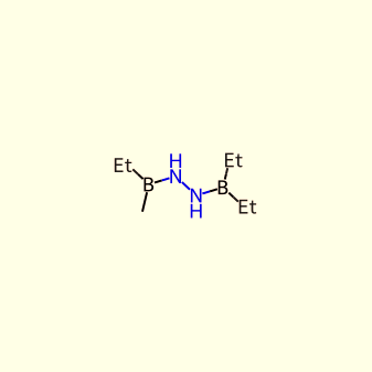 CCB(C)NNB(CC)CC